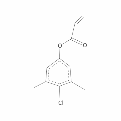 C=CC(=O)Oc1cc(C)c(Cl)c(C)c1